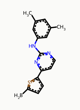 Bc1ccc(-c2ccnc(Nc3cc(C)cc(C)c3)n2)s1